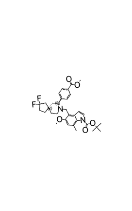 COC(=O)c1ccc([C@@H]2C[C@]3(CCN2Cc2c(OC)cc(C)c4c2ccn4C(=O)OC(C)(C)C)CCC(F)(F)C3)cc1